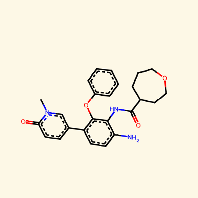 Cn1cc(-c2ccc(N)c(NC(=O)C3CCCOCC3)c2Oc2ccccc2)ccc1=O